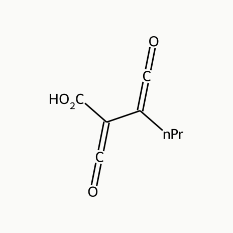 CCCC(=C=O)C(=C=O)C(=O)O